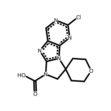 O=C(O)N1CC2(CCOCC2)n2c1nc1cnc(Cl)nc12